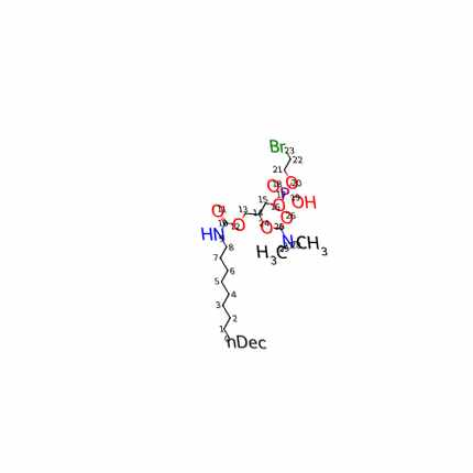 CCCCCCCCCCCCCCCCCCNC(=O)OCC(COP(=O)(O)OCCBr)OC(=O)N(C)C